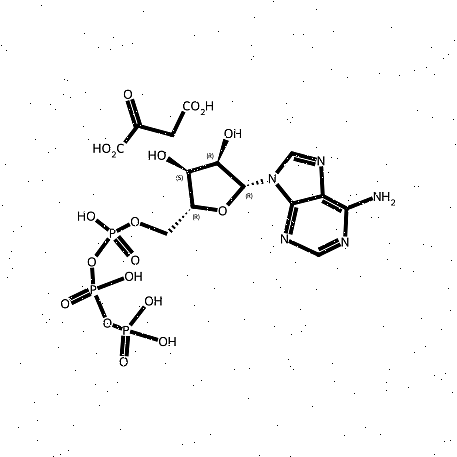 Nc1ncnc2c1ncn2[C@@H]1O[C@H](COP(=O)(O)OP(=O)(O)OP(=O)(O)O)[C@@H](O)[C@H]1O.O=C(O)CC(=O)C(=O)O